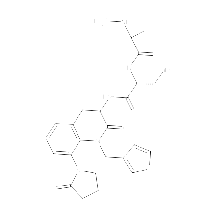 CC[C@@](C)(NC(=O)O)C(=O)N[C@H](CC(C)C)C(=O)NC1Cc2cccc(N3CCCC3=O)c2N(Cc2ccsc2)C1=O